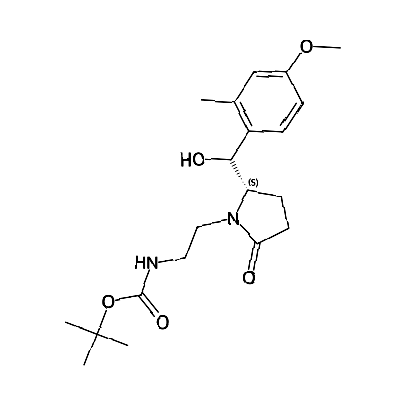 COc1ccc(C(O)[C@@H]2CCC(=O)N2CCNC(=O)OC(C)(C)C)c(C)c1